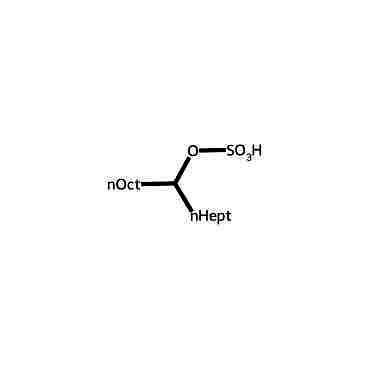 CCCCCCCCC(CCCCCCC)OS(=O)(=O)O